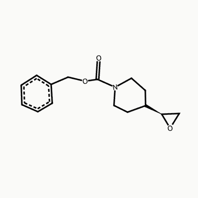 O=C(OCc1ccccc1)N1CCC([C@H]2CO2)CC1